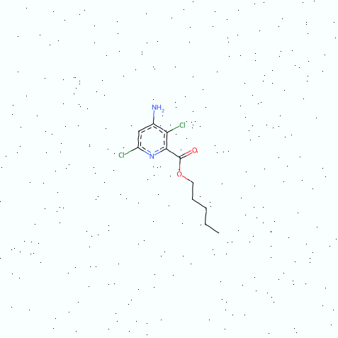 CCCCCOC(=O)c1nc(Cl)cc(N)c1Cl